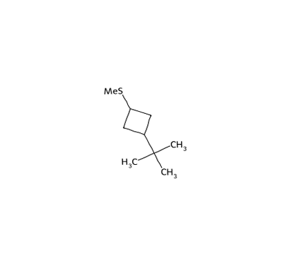 CSC1CC(C(C)(C)C)C1